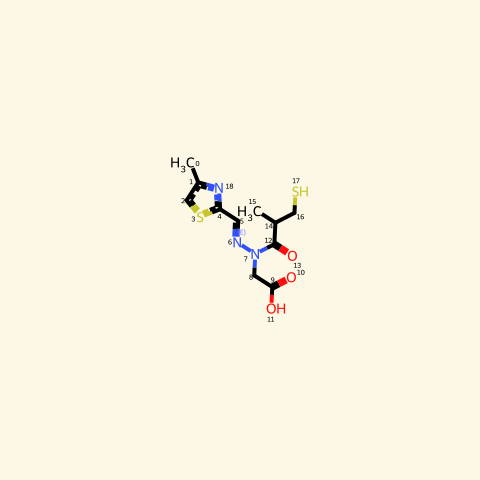 Cc1csc(/C=N/N(CC(=O)O)C(=O)C(C)CS)n1